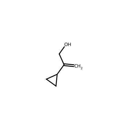 C=C(CO)C1CC1